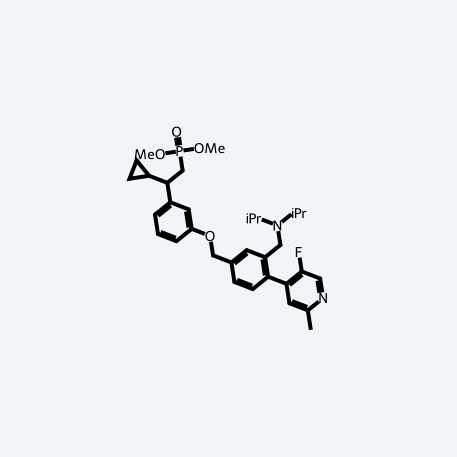 COP(=O)(CC(c1cccc(OCc2ccc(-c3cc(C)ncc3F)c(CN(C(C)C)C(C)C)c2)c1)C1CC1)OC